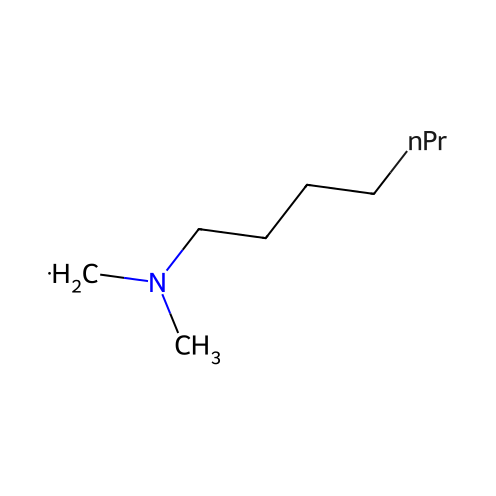 [CH2]N(C)CCCCCCC